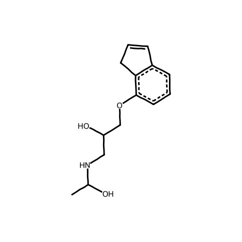 CC(O)NCC(O)COc1cccc2c1CC=C2